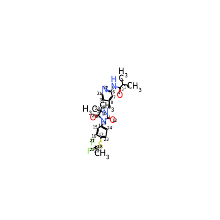 CC(C)C(=O)Nc1cc(CN2C(=O)N(c3ccc(SC(C)(F)F)cc3)C(=O)C2(C)C)ccn1